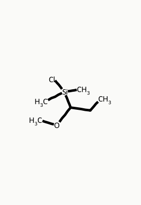 CCC(OC)[Si](C)(C)Cl